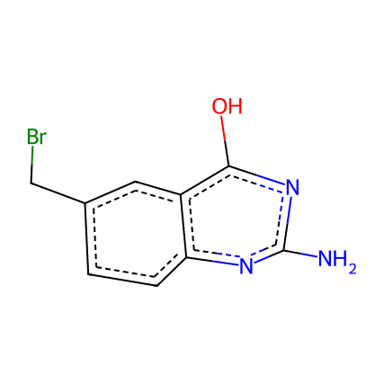 Nc1nc(O)c2cc(CBr)ccc2n1